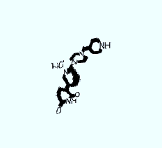 Cl.O=C1CCC(c2ccc(N3CCN(CC4CCNCC4)CC3)nc2)C(=O)N1